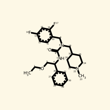 CCOCC(NC(=O)N(Cc1ccc(F)cc1F)CC1CCN(C)CC1)c1ccccc1